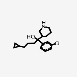 OC(CCCC1CC1)(c1cccc(Cl)c1)C1CCCNC1